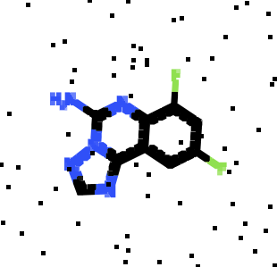 Nc1nc2c(F)cc(F)cc2c2ncnn12